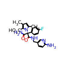 Cc1cc(C)n([C@@](C(N)=O)(C(=O)NCc2ccc(N)nc2)c2ccc(F)cc2)c1C(=O)O